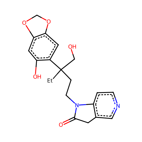 CCC(CO)(CCN1C(=O)Cc2cnccc21)c1cc2c(cc1O)OCO2